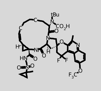 Cc1nc2ccc(OC(F)(F)F)cc2c2c1O[C@@]1(C[C@H]3C(=O)N[C@]4(C(=O)NS(=O)(=O)C5(C)CC5)C[C@H]4/C=C\CCCCC[C@H](N(C(=O)O)C(C)(C)C)C(=O)N3C1)CC2(F)F